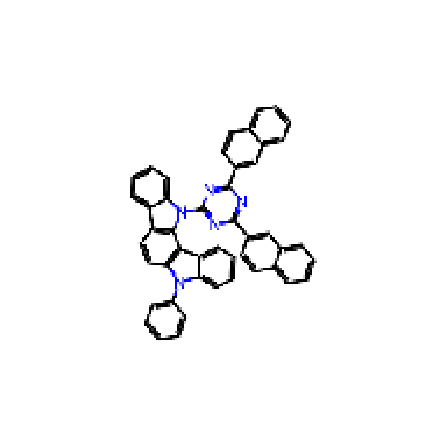 c1ccc(-n2c3ccccc3c3c2ccc2c4ccccc4n(-c4nc(-c5ccc6ccccc6c5)nc(-c5ccc6ccccc6c5)n4)c23)cc1